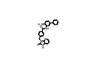 Nc1ccc(-c2ccccc2)cc1NC(=O)c1ccc(Cn2c(=S)[nH]c3cccnc32)cc1